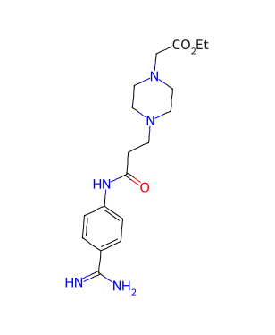 CCOC(=O)CN1CCN(CCC(=O)Nc2ccc(C(=N)N)cc2)CC1